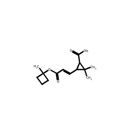 CC1(OC(=O)/C=C/C2C(C(=O)O)C2(C)C)CCC1